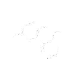 Cc1cnc(C)c(-c2ccccc2CO)n1